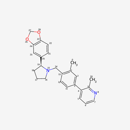 Cc1cc(-c2cccnc2C)ccc1CN1CCC[C@H]1c1ccc2c(c1)OCO2